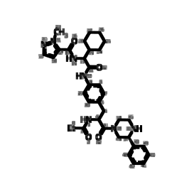 CCC(=O)NC(Cc1ccc(NC(=O)C(NC(=O)c2ccnn2C)C2CCCCC2)cc1)C(=O)N1CCN[C@@H](c2ccccc2)C1